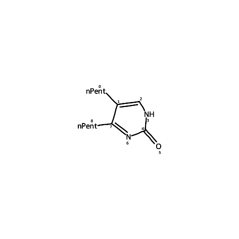 CCCCCc1c[nH]c(=O)nc1CCCCC